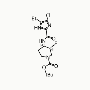 CCc1[nH]c(C(=O)N[C@H]2CCN(C(=O)OC(C)(C)C)C[C@@H]2F)nc1Cl